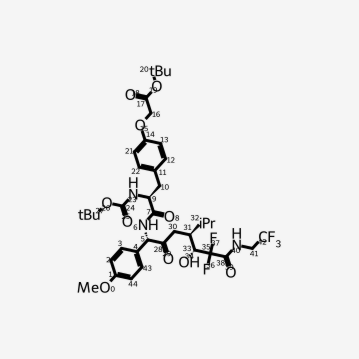 COc1ccc([C@H](NC(=O)[C@H](Cc2ccc(OCC(=O)OC(C)(C)C)cc2)NC(=O)OC(C)(C)C)C(=O)C[C@@H](C(C)C)[C@@H](O)C(F)(F)C(=O)NCC(F)(F)F)cc1